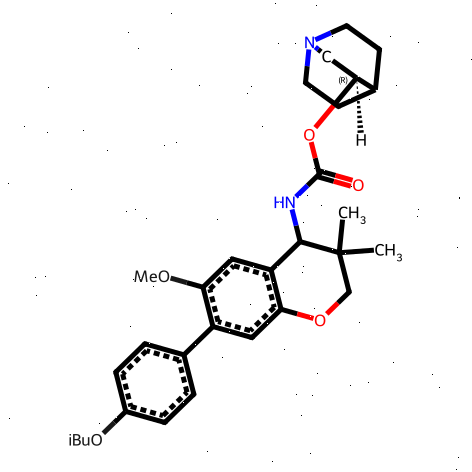 COc1cc2c(cc1-c1ccc(OCC(C)C)cc1)OCC(C)(C)C2NC(=O)O[C@H]1CN2CCC1CC2